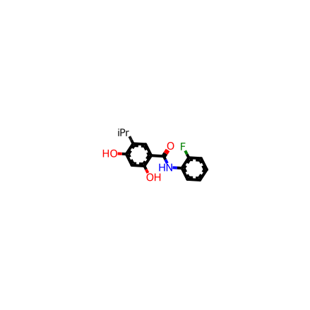 CC(C)c1cc(C(=O)Nc2ccccc2F)c(O)cc1O